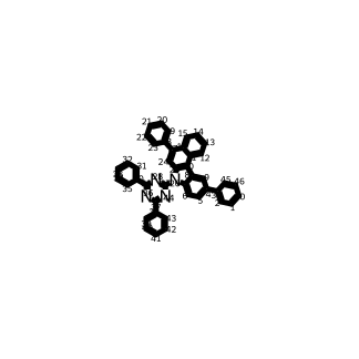 c1ccc(-c2ccc3c(c2)c2c4ccccc4c(-c4ccccc4)cc2n3-c2nc(-c3ccccc3)nc(-c3ccccc3)n2)cc1